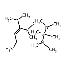 CN(C)C(=CC[SiH3])N(C)C.CN(C)[Si](C)(C)N(C)C